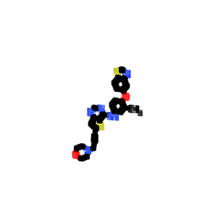 Cc1cc(Nc2ncnc3cc(C#CCN4CCOCC4)sc23)ccc1Oc1ccc2scnc2c1